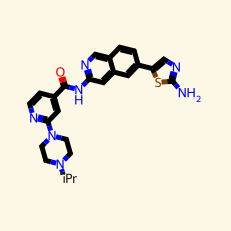 CC(C)N1CCN(c2cc(C(=O)Nc3cc4cc(-c5cnc(N)s5)ccc4cn3)ccn2)CC1